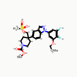 COCOc1cc(-n2ncc3cc(C4(COS(C)(=O)=O)CCN(C(=O)OC(C)(C)C)CC4)ccc32)cc(F)c1F